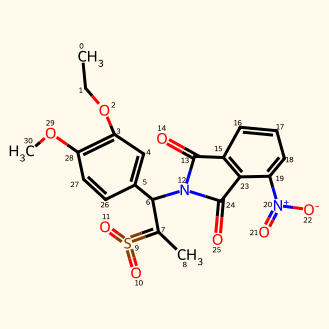 CCOc1cc(C(C(C)=S(=O)=O)N2C(=O)c3cccc([N+](=O)[O-])c3C2=O)ccc1OC